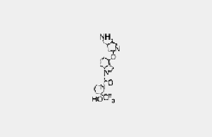 NCc1ccnc(Oc2cccc3c2ccn3CC(=O)N2CCC[C@](O)(C(F)(F)F)C2)c1